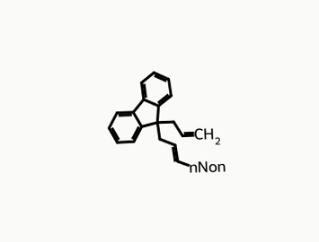 C=CCC1(CC=CCCCCCCCCC)c2ccccc2-c2ccccc21